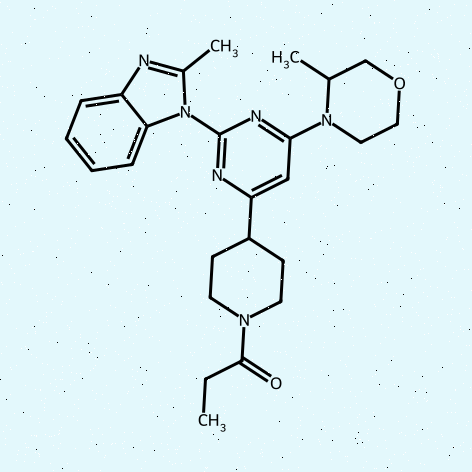 CCC(=O)N1CCC(c2cc(N3CCOCC3C)nc(-n3c(C)nc4ccccc43)n2)CC1